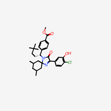 COC(=O)c1ccc([C@@H](CCC(C)(C)C)N2C(=O)C(c3ccc(Cl)c(O)c3)=NC23CC(C)CC(C)C3)cc1